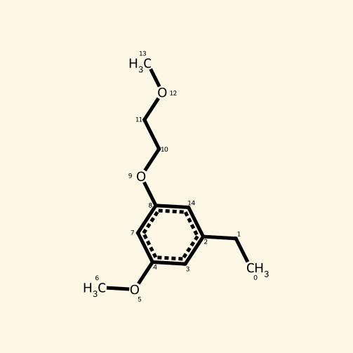 CCc1cc(OC)cc(OCCOC)c1